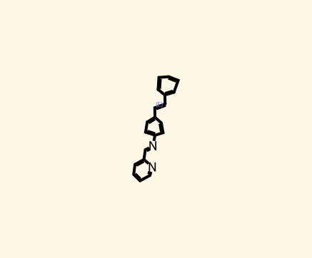 C(=Nc1ccc(/C=C/c2ccccc2)cc1)c1ccccn1